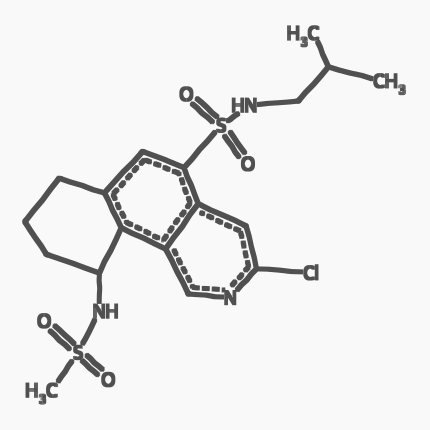 CC(C)CNS(=O)(=O)c1cc2c(c3cnc(Cl)cc13)C(NS(C)(=O)=O)CCC2